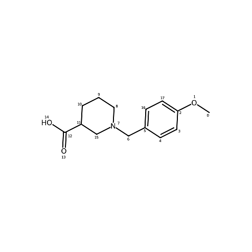 COc1ccc(CN2CCCC(C(=O)O)C2)cc1